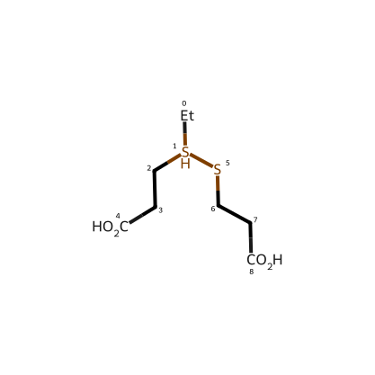 CC[SH](CCC(=O)O)SCCC(=O)O